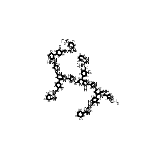 Cc1cccc2nnc(NCc3ccc(-c4cc(Cn5cc(-c6nc7c(-c8ccc(CNc9nnc%10ccccn9%10)c(F)c8)cc(Cn8cc(-c9nc%10c(-c%11ccc(CNc%12nnc%13ccc(C(F)(F)F)cn%12%13)c(F)c%11)ccnc%10[nH]9)cn8)nc7[nH]6)cn5)nc5[nH]c(-c6cnn(-c7cc(-c8ccc(CNc9nnc(-c%10ccccc%10)o9)c(F)c8)c8nc(-c9cnn(C)c9)[nH]c8n7)c6)nc45)cc3F)n12